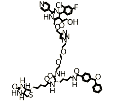 O=C(CCCC[C@@H]1SC[C@@H]2NC(=O)N[C@@H]21)N[C@@H](CCCCNC(=O)c1ccc(C(=O)c2ccccc2)cc1)C(=O)NCCOCCOCCn1cc(COCC2=C(C(=O)CO)C(c3ccc(F)cc3Cl)N=C(c3ccncc3)N2)nn1